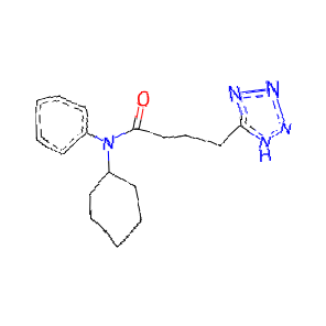 O=C(CCCc1nnn[nH]1)N(c1ccccc1)C1CCCCC1